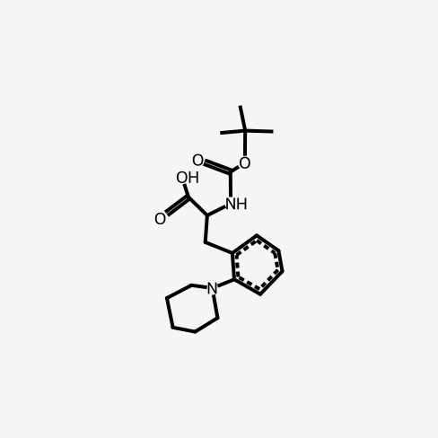 CC(C)(C)OC(=O)NC(Cc1ccccc1N1CCCCC1)C(=O)O